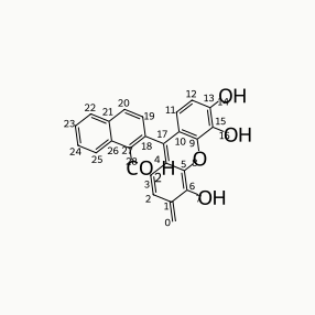 C=c1ccc2c(c1O)Oc1c(ccc(O)c1O)C=2c1ccc2ccccc2c1C(=O)O